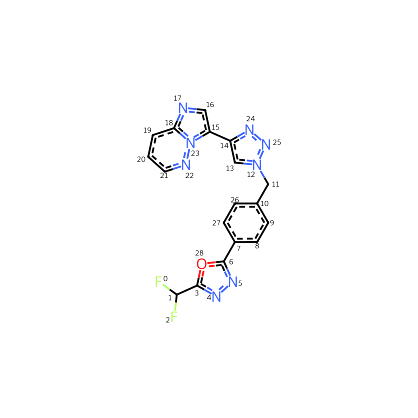 FC(F)c1nnc(-c2ccc(Cn3cc(-c4cnc5cccnn45)nn3)cc2)o1